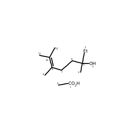 CC(=O)O.CCC(C)(O)CCC(C)=C(C)C